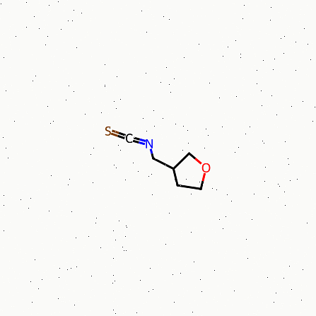 S=C=NCC1CCOC1